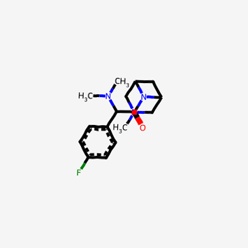 CN1CC2CC(C1)N2C(=O)C(c1ccc(F)cc1)N(C)C